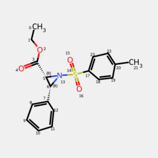 CCOC(=O)[C@H]1[C@@H](c2ccccc2)N1S(=O)(=O)c1ccc(C)cc1